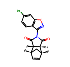 O=C1[C@@H]2[C@H](C(=O)N1c1noc3cc(Br)ccc13)[C@@H]1C=C[C@H]2C1